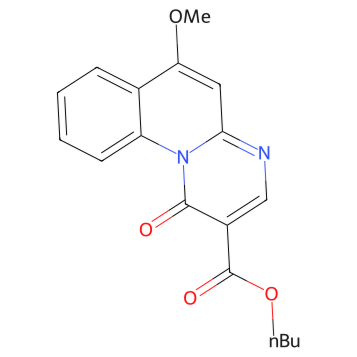 CCCCOC(=O)c1cnc2cc(OC)c3ccccc3n2c1=O